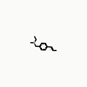 C/C=C/c1ccc(CN(C)CC)cc1